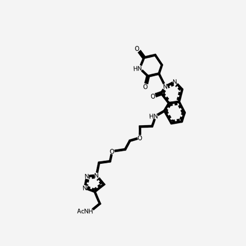 CC(=O)NCc1cn(CCOCCOCCNc2cccc3cnn(C4CCC(=O)NC4=O)c(=O)c23)nn1